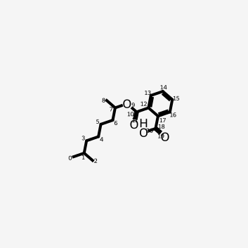 CC(C)CCCCC(C)OC(=O)c1ccccc1C(=O)O